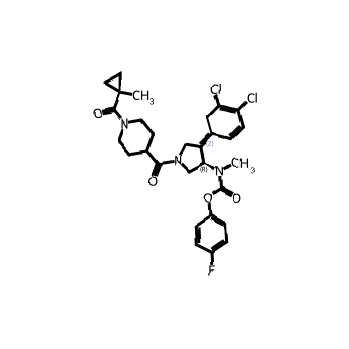 CN(C(=O)Oc1ccc(F)cc1)[C@H]1CN(C(=O)C2CCN(C(=O)C3(C)CC3)CC2)C/C1=C1/C=CC(Cl)=C(Cl)C1